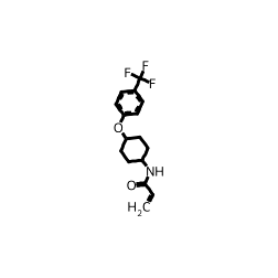 C=CC(=O)NC1CCC(Oc2ccc(C(F)(F)F)cc2)CC1